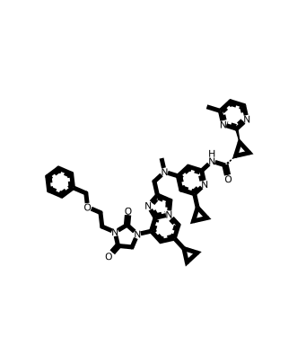 Cc1ccnc([C@H]2C[C@@H]2C(=O)Nc2cc(N(C)Cc3cn4cc(C5CC5)cc(N5CC(=O)N(CCOCc6ccccc6)C5=O)c4n3)cc(C3CC3)n2)n1